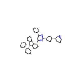 c1ccc(-c2cc(-c3cccc4c3-c3ccccc3C4(c3ccccc3)c3ccccc3)nc(-c3ccc(-c4cccnc4)cc3)n2)cc1